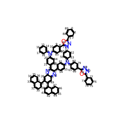 c1ccc(-c2nnc(-c3ccc(N(c4ccccc4)c4ccc(-c5nc6cc(-c7cccc8ccccc78)c(-c7cccc8ccccc78)cc6nc5-c5ccc(N(c6ccccc6)c6ccc(-c7nnc(-c8ccccc8)o7)cc6)cc5)cc4)cc3)o2)cc1